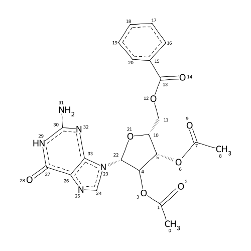 CC(=O)OC1[C@@H](OC(C)=O)[C@@H](COC(=O)c2ccccc2)O[C@H]1n1cnc2c(=O)[nH]c(N)nc21